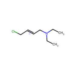 CCN(CC)C/C=C/CCl